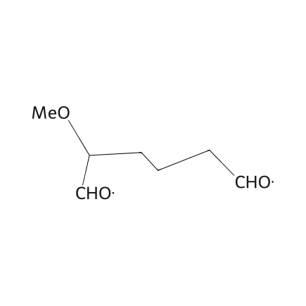 COC([C]=O)CCC[C]=O